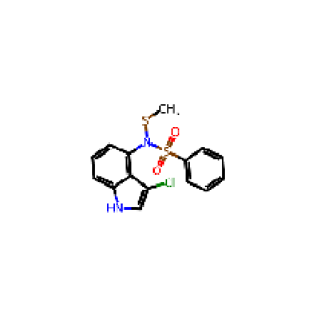 CSN(c1cccc2[nH]cc(Cl)c12)S(=O)(=O)c1ccccc1